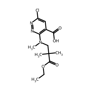 CCOC(=O)C(C)(C)CN(C)c1nnc(Cl)cc1C(=O)O